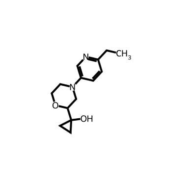 CCc1ccc(N2CCOC(C3(O)CC3)C2)cn1